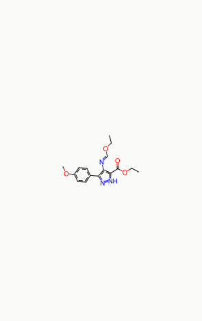 CCOC=Nc1c(-c2ccc(OC)cc2)n[nH]c1C(=O)OCC